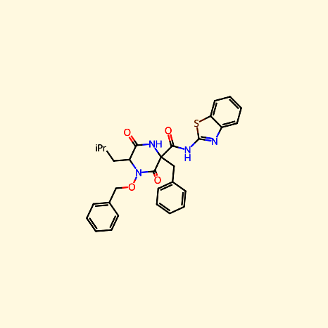 CC(C)CC1C(=O)NC(Cc2ccccc2)(C(=O)Nc2nc3ccccc3s2)C(=O)N1OCc1ccccc1